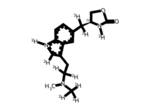 [2H]c1c(CC([2H])([2H])N(C)C([2H])([2H])[2H])c2cc(C([2H])([2H])[C@H]3COC(=O)N3[2H])ccc2n1[2H]